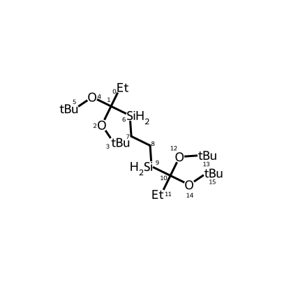 CCC(OC(C)(C)C)(OC(C)(C)C)[SiH2]CC[SiH2]C(CC)(OC(C)(C)C)OC(C)(C)C